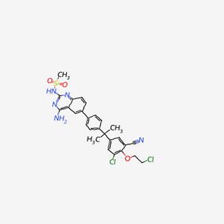 CC(C)(c1ccc(-c2ccc3nc(NS(C)(=O)=O)nc(N)c3c2)cc1)c1cc(Cl)c(OCCCl)c(C#N)c1